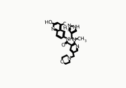 Cc1cc(O)nc2ccc(NC(=O)c3cc(CN4CCOCC4)cnc3N(C)Cc3cn[nH]c3)cc12